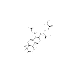 C=C(CC[C@@H](C(=O)O)[C@H]1C[C@H](OC(C)=O)[C@@]2(C)C3=CC[C@H]4C(C)(C)[C@@H](O)CC[C@]4(C)C3=CC[C@]12C)C(C)C